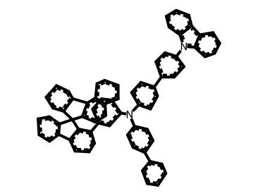 c1ccc(-c2ccc(N(c3ccc(-c4ccc(-n5c6ccccc6c6ccccc65)cc4)cc3)c3cccc(-c4cccc5c4C4(c6ccccc6-5)c5ccccc5-c5c4ccc4ccccc54)c3)cc2)cc1